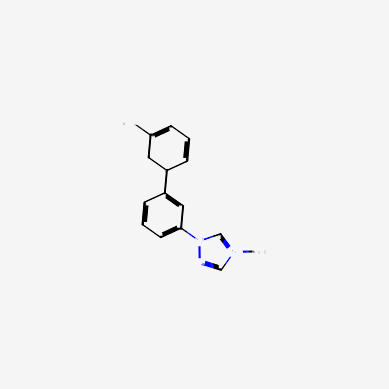 CCCCC1=CC=CC(c2cccc(-n3c[n+](CCCC)cn3)c2)C1